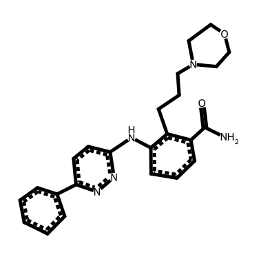 NC(=O)c1cccc(Nc2ccc(-c3ccccc3)nn2)c1CCCN1CCOCC1